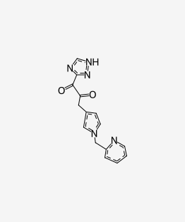 O=C(Cc1ccn(Cc2ccccn2)c1)C(=O)c1nc[nH]n1